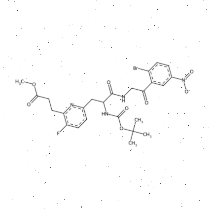 COC(=O)CCc1nc(CC(NC(=O)OC(C)(C)C)C(=O)NCC(=O)c2cc([N+](=O)[O-])ccc2Br)ccc1F